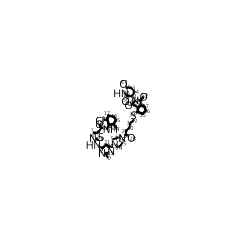 Cc1nc(Nc2ncc(C(=O)Nc3c(C)cccc3Cl)s2)cc(N2CCN(C(=O)CCCCSc3cccc4c3C(=O)N(C3CCC(=O)NC3=O)C4=O)CC2)n1